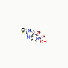 CSc1ncc2c(n1)CCN(C(=O)O)C2=O